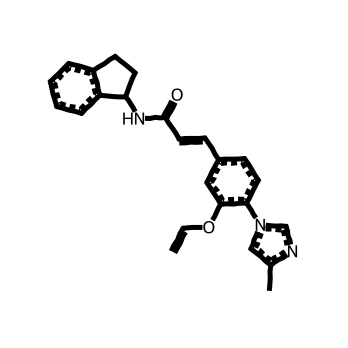 C=COc1cc(/C=C/C(=O)NC2CCc3ccccc32)ccc1-n1cnc(C)c1